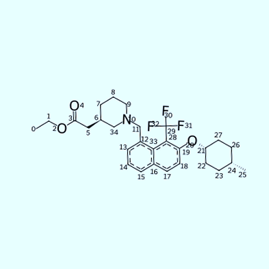 CCOC(=O)C[C@H]1CCCN(Cc2cccc3ccc(O[C@H]4CC[C@@H](C)CC4)c(C(F)(F)F)c23)C1